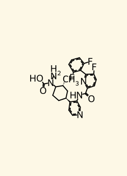 C[C@@H]1C[C@@H](c2ccncc2NC(=O)c2ccc(F)c(-c3c(F)cccc3F)n2)CCC1N(N)C(=O)O